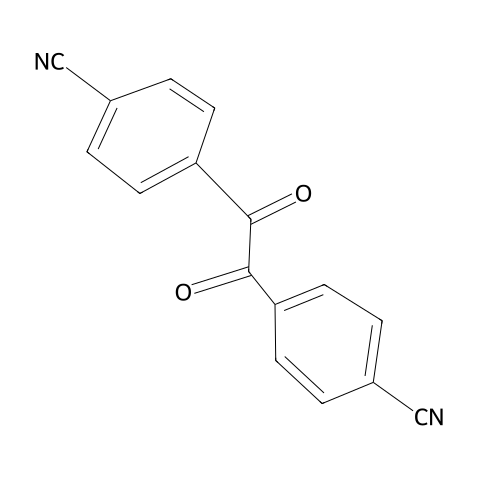 N#Cc1ccc(C(=O)C(=O)c2ccc(C#N)cc2)cc1